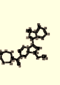 O=C(c1cc2c(cn1)c(-c1c[nH]c3ncccc13)nn2CC(F)(F)F)N1CCCOCC1